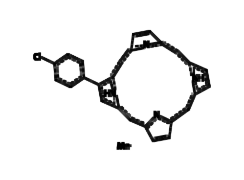 Clc1ccc(-c2cc3cc4nc(cc5ccc(cc6nc(cc2[nH]3)C=C6)[nH]5)C=C4)cc1.[Mn]